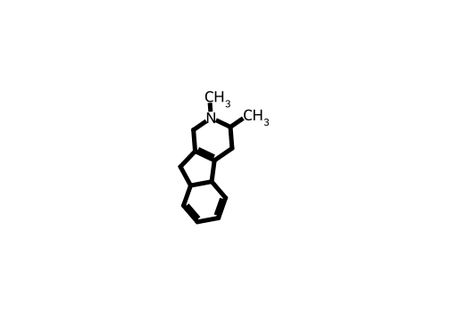 CC1CC2=C(CC3C=CC=CC23)CN1C